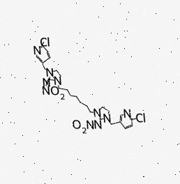 O=[N+]([O-])/N=C1\N(CCCCCCCN2CCN(Cc3ccc(Cl)nc3)/C2=N/[N+](=O)[O-])CCN1Cc1ccc(Cl)nc1